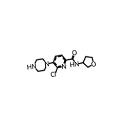 O=C(NC1CCOC1)c1ccc(N2CCNCC2)c(Cl)n1